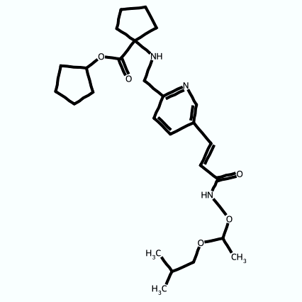 CC(C)COC(C)ONC(=O)/C=C/c1ccc(CNC2(C(=O)OC3CCCC3)CCCC2)nc1